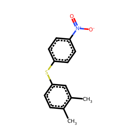 Cc1ccc(Sc2ccc([N+](=O)[O-])cc2)cc1C